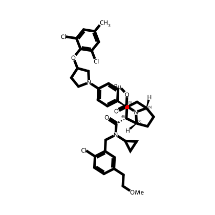 COCCc1ccc(Cl)c(CN(C(=O)[C@@H]2[C@@H](c3ccc(N4CCC(Oc5c(Cl)cc(C)cc5Cl)C4)cc3)C[C@@H]3CC[C@H]2N3C(=O)OC(C)(C)C)C2CC2)c1